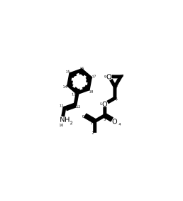 C=C(C)C(=O)OCC1CO1.NC=Cc1ccccc1